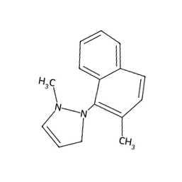 Cc1ccc2ccccc2c1N1CC=CN1C